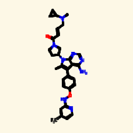 Cc1c(-c2ccc(ONc3cc(C(F)(F)F)ccn3)cc2)c2c(N)ncnc2n1[C@@H]1CCN(C(=O)/C=C/CN(C)C2CC2)C1